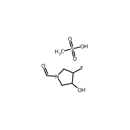 CS(=O)(=O)O.O=CN1CC(O)C(F)C1